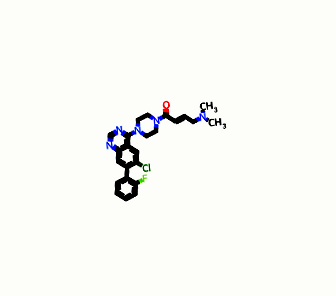 CN(C)CC=CC(=O)N1CCN(c2ncnc3cc(-c4ccccc4F)c(Cl)cc23)CC1